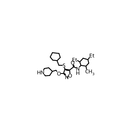 CCC1CC(C)C(NC(=O)c2onc(OCC3CCNCC3)c2SCC2CCCCC2)C(CC)C1